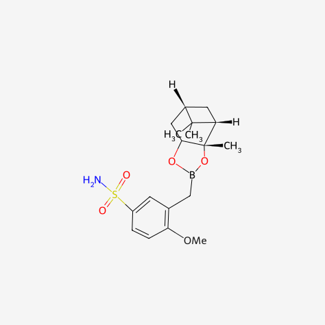 COc1ccc(S(N)(=O)=O)cc1CB1OC2C[C@@H]3C[C@@H](C3(C)C)[C@]2(C)O1